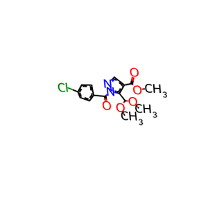 COC(=O)c1cnn(C(=O)c2ccc(Cl)cc2)c1C(OC)OC